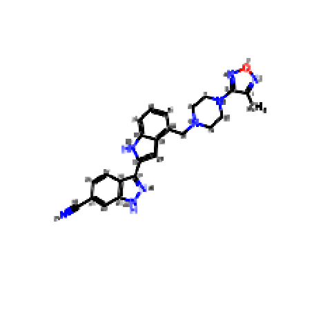 Cc1nonc1N1CCN(Cc2cccc3[nH]c(-c4n[nH]c5cc(C#N)ccc45)cc23)CC1